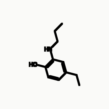 CCCNc1cc(CC)ccc1O